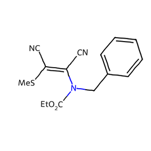 CCOC(=O)N(Cc1ccccc1)/C(C#N)=C(/C#N)SC